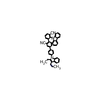 C=Cc1c(/C=C\C)c2ccccc2n1-c1ccc(-c2ccc(-c3cccc(C#N)c3-n3c4ccccc4c4ccccc43)c(C#N)c2)cc1